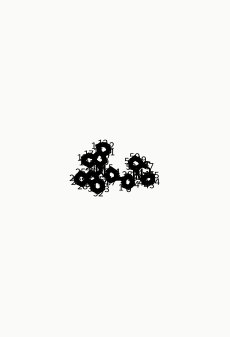 c1cc(-c2ccc(N(c3cc4ccccc4c4ccccc34)c3cc4ccccc4c4ccccc34)cc2)cc(N2c3ccccc3Sc3ccccc32)c1